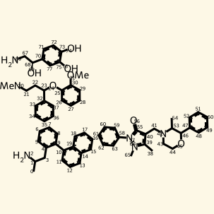 CC(N)Cc1ccccc1-c1cccc2ccccc12.CNCCC(Oc1ccccc1OC)c1ccccc1.Cc1c(CN2CCOC(c3ccccc3)C2C)c(=O)n(-c2ccccc2)n1C.NC[C@H](O)c1ccc(O)c(O)c1